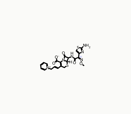 CO/N=C(\C(=O)NC1C(=O)N2C(C(=O)[O-])=C(C=CC[n+]3ccccc3)CS[C@@H]12)c1csc(N)n1